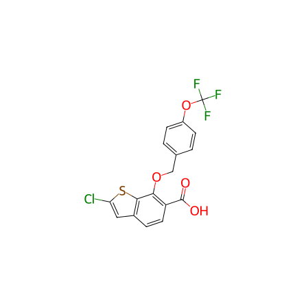 O=C(O)c1ccc2cc(Cl)sc2c1OCc1ccc(OC(F)(F)F)cc1